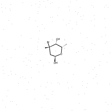 C[C@@H]1O[C@@H](O)C[C@](C)(Br)[C@@H]1O